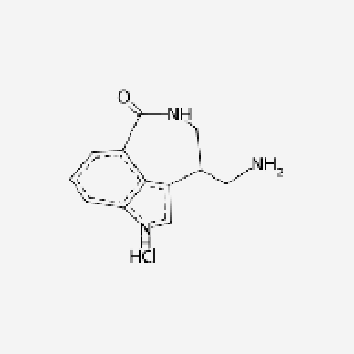 Cl.NCC1CNC(=O)c2cccc3[nH]cc1c23